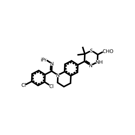 CC(C)N=C(c1ccc(Cl)cc1Cl)N1CCCc2cc(C3=NNC(C=O)SC3(C)C)ccc21